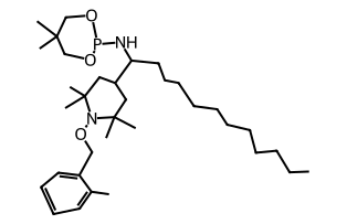 CCCCCCCCCCCC(NP1OCC(C)(C)CO1)C1CC(C)(C)N(OCc2ccccc2C)C(C)(C)C1